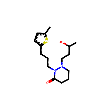 Cc1ccc(CCCN2C(=O)CCCN2CCC(C)O)s1